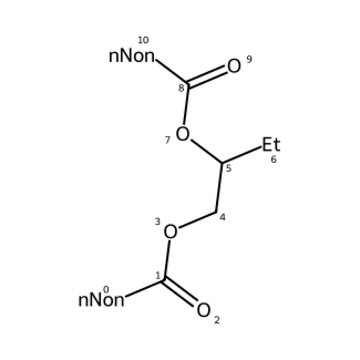 CCCCCCCCCC(=O)OCC(CC)OC(=O)CCCCCCCCC